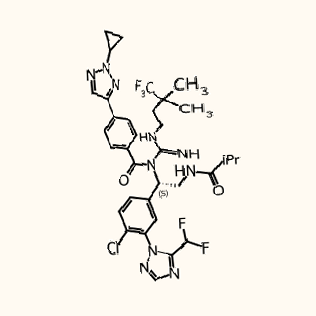 CC(C)C(=O)NC[C@H](c1ccc(Cl)c(-n2ncnc2C(F)F)c1)N(C(=N)NCCC(C)(C)C(F)(F)F)C(=O)c1ccc(-c2cnn(C3CC3)n2)cc1